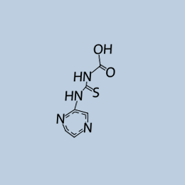 O=C(O)NC(=S)Nc1cnccn1